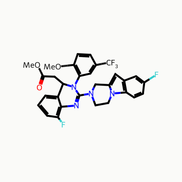 COC(=O)CC1c2cccc(F)c2N=C(N2CCn3c(cc4cc(F)ccc43)C2)N1c1cc(C(F)(F)F)ccc1OC